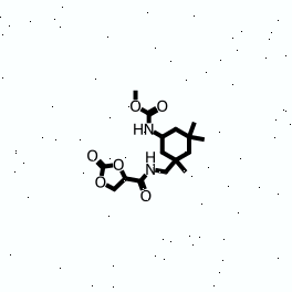 COC(=O)NC1CC(C)(C)CC(C)(CNC(=O)C2COC(=O)O2)C1